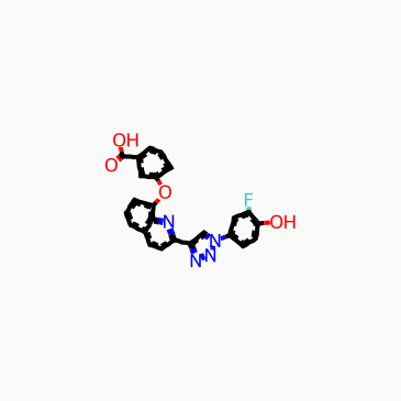 O=C(O)c1cccc(Oc2cccc3ccc(-c4cn(-c5ccc(O)c(F)c5)nn4)nc23)c1